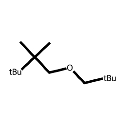 CC(C)(C)COCC(C)(C)C(C)(C)C